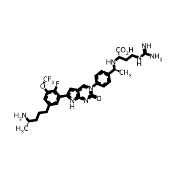 C[C@H](N)CCCc1cc(OC(F)(F)F)c(F)c(-c2cc3cn(-c4ccc([C@H](C)N[C@@H](CCNC(=N)N)C(=O)O)cc4)c(=O)nc3[nH]2)c1